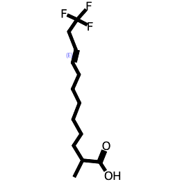 CC(CCCCCC/C=C/CC(F)(F)F)C(=O)O